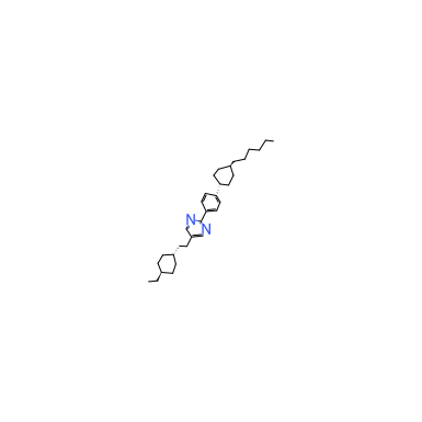 CCCCCC[C@H]1CC[C@H](c2ccc(-c3ncc(CC[C@H]4CC[C@H](CC)CC4)cn3)cc2)CC1